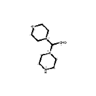 O=CC(N1CCNCC1)N1CCNCC1